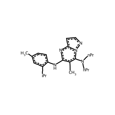 CCCN(CCC)c1c(C)c(Nc2ccc(C)cc2C(C)C)nc2ccnn12